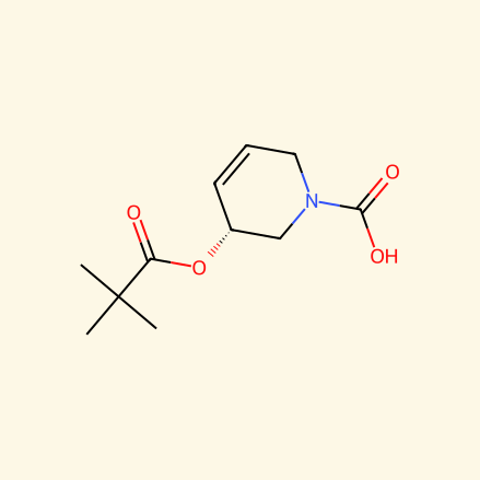 CC(C)(C)C(=O)O[C@@H]1C=CCN(C(=O)O)C1